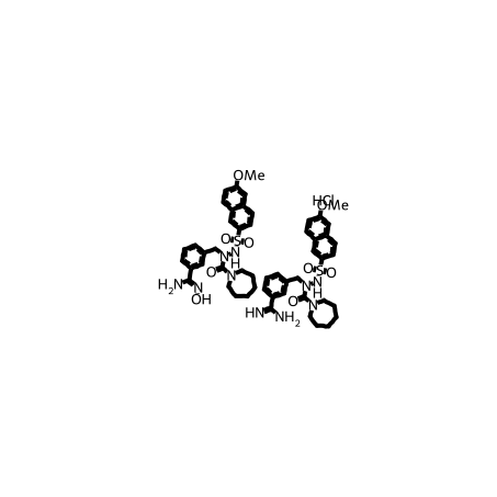 COc1ccc2cc(S(=O)(=O)NN(Cc3cccc(C(=N)N)c3)C(=O)N3CCCCCC3)ccc2c1.COc1ccc2cc(S(=O)(=O)NN(Cc3cccc(C(N)=NO)c3)C(=O)N3CCCCCC3)ccc2c1.Cl